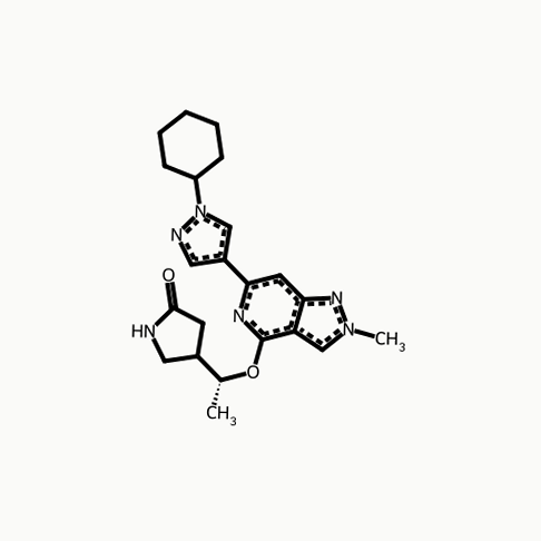 C[C@@H](Oc1nc(-c2cnn(C3CCCCC3)c2)cc2nn(C)cc12)C1CNC(=O)C1